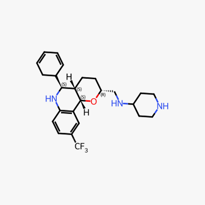 FC(F)(F)c1ccc2c(c1)[C@H]1O[C@@H](CNC3CCNCC3)CC[C@H]1[C@H](C1C=CC=CC1)N2